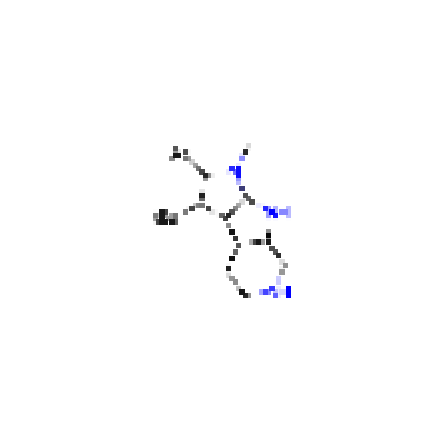 CC(=O)C1C(C(C)(C)C)C2C3CCNCC3NC2N1C